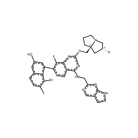 CCc1c(F)ccc2cc(O)cc(-c3ncc4c(NCc5ncc6cc[nH]c6n5)nc(OC[C@@]56CCCN5C[C@H](F)C6)nc4c3F)c12